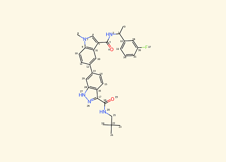 CC(NC(=O)c1cn(C)c2ccc(-c3ccc4c(C(=O)NCC(C)(C)C)n[nH]c4c3)cc12)c1cccc(F)c1